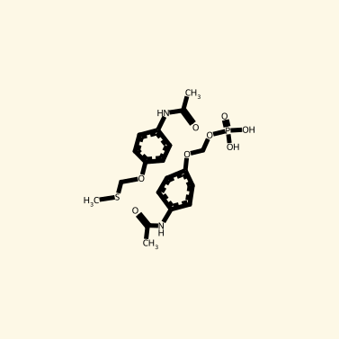 CC(=O)Nc1ccc(OCOP(=O)(O)O)cc1.CSCOc1ccc(NC(C)=O)cc1